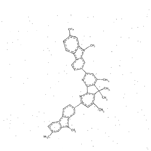 Cc1ccc2c3ccc(-c4cc(C)c5c(n4)-c4nc(-c6ccc7c8ccc(C)cc8n(C)c7c6)cc(C)c4C5(C)C)cc3n(C)c2c1